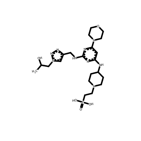 CC(O)Cn1cc(CNc2nc(NC3CCN(CCP(=O)(O)O)CC3)cc(N3CCOCC3)n2)nn1